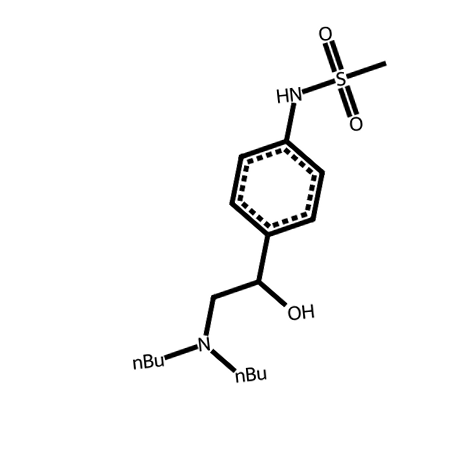 CCCCN(CCCC)CC(O)c1ccc(NS(C)(=O)=O)cc1